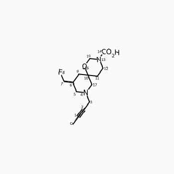 CC#CCN1CC(CF)CC2(CCN(C(=O)O)CO2)C1